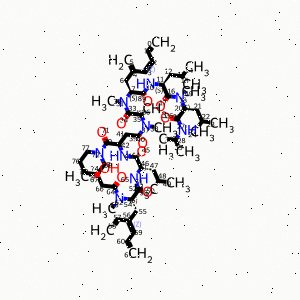 C=C/C=C\C(=C)C[C@@H](C(=O)N[C@@H](CC(C)C)C(=O)N(C)[C@@H](CC(C)C)C(=O)NC(C)C)N(C)C(=O)[C@H](C)N(C)C(=O)CC(NC(=O)[C@H](CC(C)C)NC(=O)[C@H](C/C(C=C)=C/C=C)N(C)C(=O)C[C@@H](C)O)C(=O)N1CCCCC1